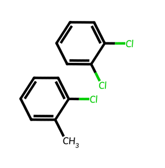 Cc1ccccc1Cl.Clc1ccccc1Cl